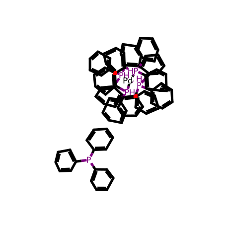 c1ccc(P(c2ccccc2)c2ccccc2)cc1.c1ccc([PH](c2ccccc2)(c2ccccc2)[Pd]([PH](c2ccccc2)(c2ccccc2)c2ccccc2)([PH](c2ccccc2)(c2ccccc2)c2ccccc2)[PH](c2ccccc2)(c2ccccc2)c2ccccc2)cc1